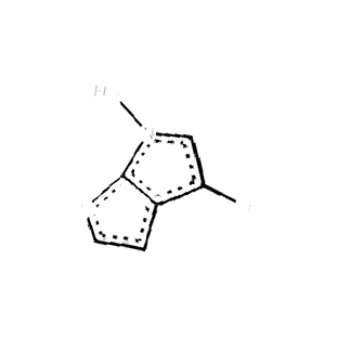 On1cc(C(F)(F)F)c2ccsc21